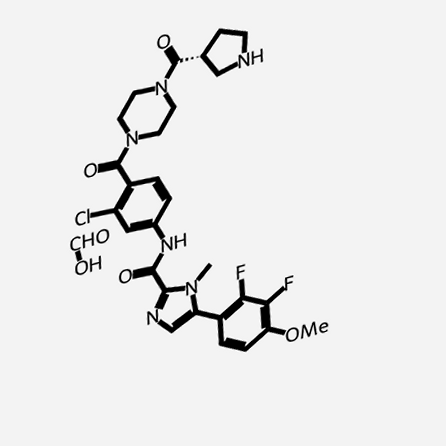 COc1ccc(-c2cnc(C(=O)Nc3ccc(C(=O)N4CCN(C(=O)[C@@H]5CCNC5)CC4)c(Cl)c3)n2C)c(F)c1F.O=CO